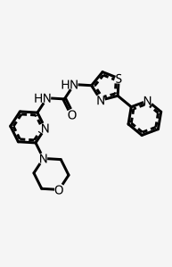 O=C(Nc1cccc(N2CCOCC2)n1)Nc1csc(-c2ccccn2)n1